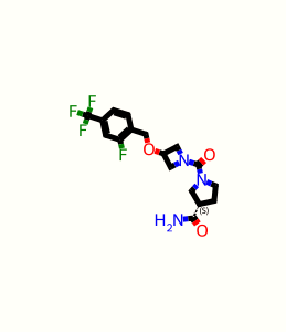 NC(=O)[C@H]1CCN(C(=O)N2CC(OCc3ccc(C(F)(F)F)cc3F)C2)C1